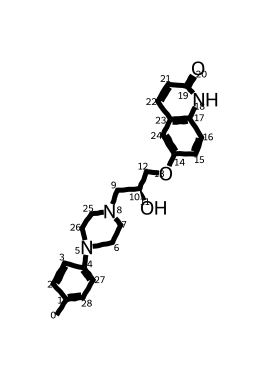 Cc1ccc(N2CCN(C[C@H](O)COc3ccc4[nH]c(=O)ccc4c3)CC2)cc1